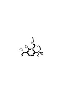 CON=C1CCS(=O)(=O)c2ccc(C(=O)O)c(Cl)c21